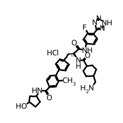 Cc1cc(C(=O)NC2CCC(O)C2)ccc1-c1ccc(C[C@H](NC(=O)C2CCC(CN)CC2)C(=O)Nc2ccc(-c3nn[nH]n3)c(F)c2)cc1.Cl